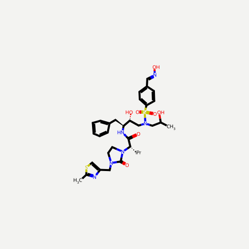 Cc1nc(CN2CCN([C@H](C(=O)N[C@@H](Cc3ccccc3)[C@H](O)CN(CC(C)O)S(=O)(=O)c3ccc(/C=N/O)cc3)C(C)C)C2=O)cs1